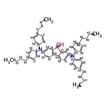 CCCCc1ccc(N(c2ccc(CCCC)cc2)c2ccc3c(c2)C(O)c2cc(N(c4ccc(CCCC)cc4)c4ccc(CCCC)cc4)ccc2-3)cc1